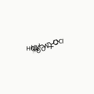 C[C@H](O)C(=O)NC(C)(C)CC(=O)N1CCC(c2ccc(Cl)cc2)C(C)(C)C1